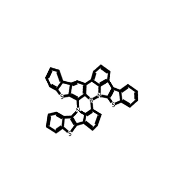 c1ccc2c(c1)sc1c3c4c(cc12)-c1cccc2c5c6ccccc6sc5n(c12)B4c1cccc2c4sc5ccccc5c4n-3c12